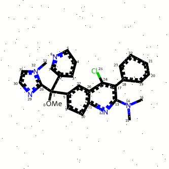 COC(c1cccnc1)(c1ccc2nc(N(C)C)c(-c3ccccc3)c(Cl)c2c1)c1nccn1C